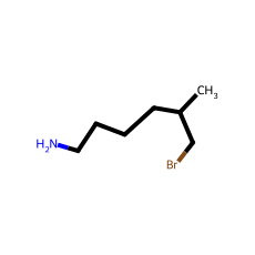 CC(CBr)CCCCN